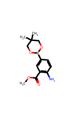 COC(=O)c1cc(B2OCC(C)(C)CO2)ccc1N